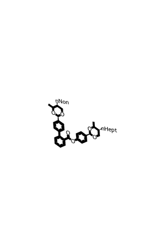 CCCCCCCCC[C@@H]1CO[C@@H](c2ccc(-c3ccccc3C(=O)Oc3ccc([C@@H]4OC[C@@H](CCCCCCC)C(C)O4)cc3)cc2)OC1C